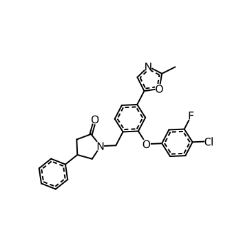 Cc1ncc(-c2ccc(CN3CC(c4ccccc4)CC3=O)c(Oc3ccc(Cl)c(F)c3)c2)o1